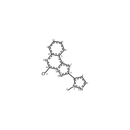 Cn1nccc1-c1nc2c3ccccc3nc(Cl)n2n1